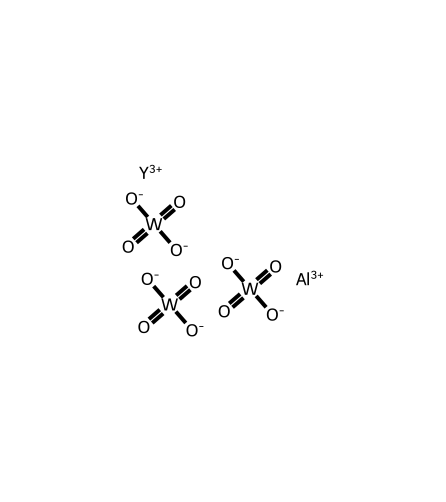 [Al+3].[O]=[W](=[O])([O-])[O-].[O]=[W](=[O])([O-])[O-].[O]=[W](=[O])([O-])[O-].[Y+3]